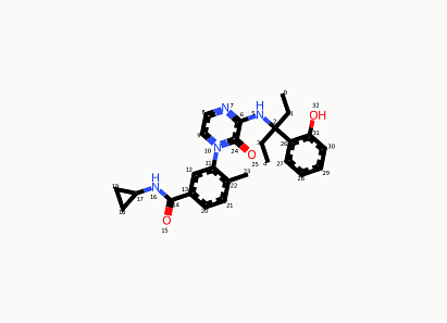 CCC(CC)(Nc1nccn(-c2cc(C(=O)NC3CC3)ccc2C)c1=O)c1ccccc1O